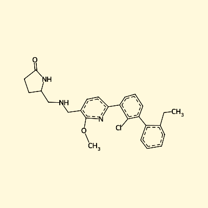 CCc1ccccc1-c1cccc(-c2ccc(CNCC3CCC(=O)N3)c(OC)n2)c1Cl